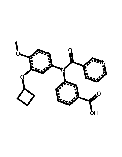 COc1ccc(N(C(=O)c2cccnc2)c2cccc(C(=O)O)c2)cc1OC1CCC1